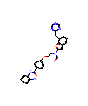 Nc1ccccc1NC(=O)c1ccc(OCCN(C=O)c2cc3cccc(Cc4ncncn4)c3o2)cc1